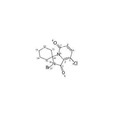 O=C1c2c(Cl)ccc(=O)n2C2(CCCCC2)N1Br